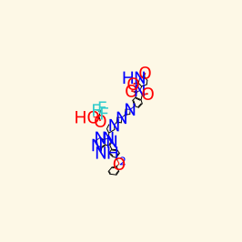 Nc1ncnc2c1c(-c1ccc(Oc3ccccc3)cc1)nn2C1CCN(C2CN(C3CN(c4ccc5c(c4)C(=O)N(C4CCC(=O)NC4=O)C5=O)C3)C2)C1.O=C(O)C(F)(F)F